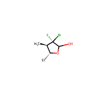 CC[C@H]1OC(O)[C@](F)(Br)[C@@H]1C